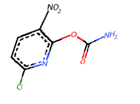 NC(=O)Oc1nc(Cl)ccc1[N+](=O)[O-]